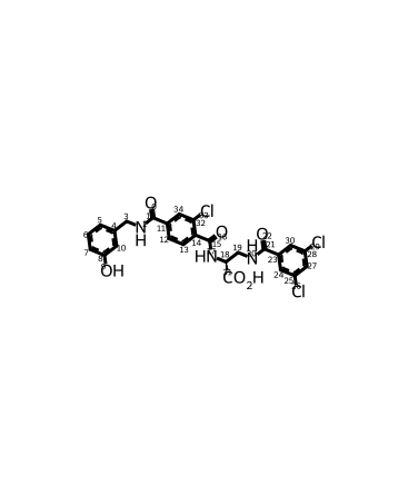 O=C(NCc1cccc(O)c1)c1ccc(C(=O)N[C@@H](CNC(=O)c2cc(Cl)cc(Cl)c2)C(=O)O)c(Cl)c1